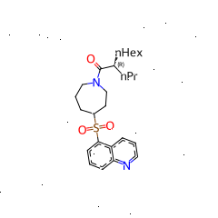 CCCCCC[C@@H](CCC)C(=O)N1CCCC(S(=O)(=O)c2cccc3ncccc23)CC1